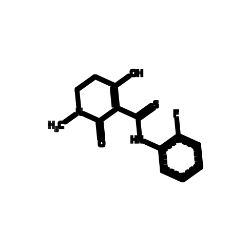 CN1CCC(O)=C(C(=S)Nc2ccccc2F)C1=O